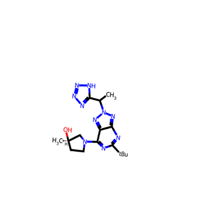 CC(c1nnn[nH]1)n1nc2nc(C(C)(C)C)nc(N3CC[C@@](C)(O)C3)c2n1